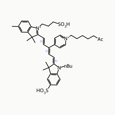 CCCCN1/C(=C/C=C(/C=C/C2=[N+](CCCS(=O)(=O)O)c3ccc(C)cc3C2(C)C)c2cc[n+](CCCCCC(C)=O)cc2)C(C)(C)c2cc(S(=O)(=O)O)ccc21